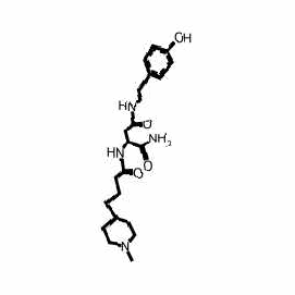 CN1CCC(CCCC(=O)NC(CC(=O)NCCc2ccc(O)cc2)C(N)=O)CC1